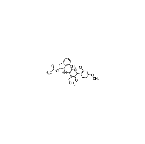 CCn1c(NC2c3ccccc3CC2OC(C)=O)c(C)nc(-c2ccc(OC)cc2Cl)c1=O